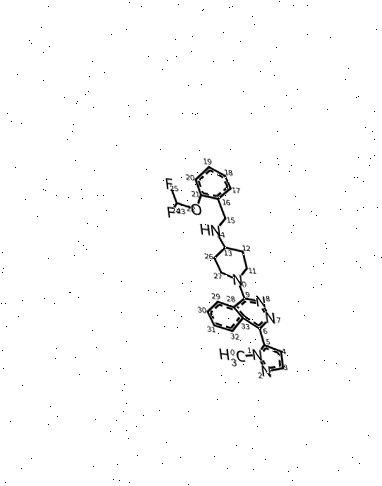 Cn1nccc1-c1nnc(N2CCC(NCc3ccccc3OC(F)F)CC2)c2ccccc12